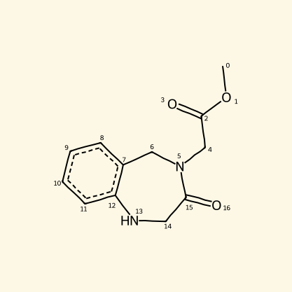 COC(=O)CN1Cc2ccccc2NCC1=O